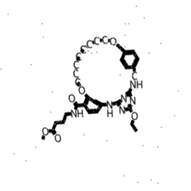 CCOc1nc2nc(n1)Nc1ccc(C(=O)NCCCC(=O)OC)c(c1)OCCCCCCCCOc1ccc(cc1)CN2